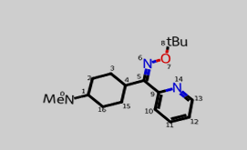 CNC1CCC(/C(=N/OC(C)(C)C)c2ccccn2)CC1